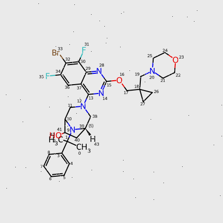 CC(C)(c1ccccc1)N1C2CN(c3nc(OCC4(CN5CCOCC5)CC4)nc4c(F)c(Br)c(F)cc34)C[C@@H]1CC2O